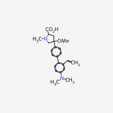 C=Cc1cc(N(C)C)ccc1-c1ccc(C2(OC)CC(C(=O)O)N(C)C2)cc1